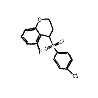 O=S(=O)(c1ccc(Cl)cc1)C1CCOc2cccc(F)c21